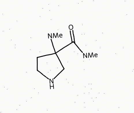 CNC(=O)C1(NC)CCNC1